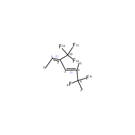 C/C=C(\C=C(/C)C(C)(F)F)C(F)(F)F